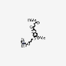 CCS/C(=C/C(C)OCCCOc1cc2sc(C(=O)CCC(=O)OC)cc2cc1OC)CC